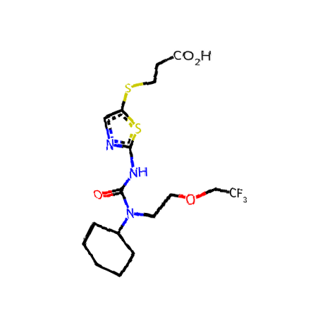 O=C(O)CCSc1cnc(NC(=O)N(CCOCC(F)(F)F)C2CCCCC2)s1